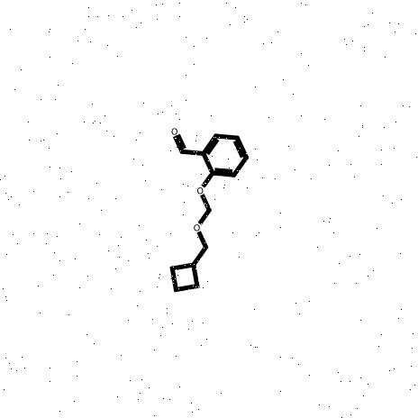 O=Cc1ccccc1OCOCC1CCC1